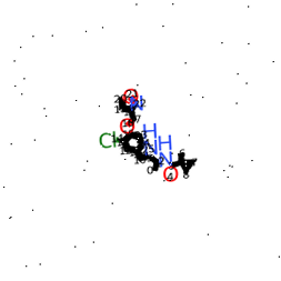 CC(NC(=O)C1(C)CC1)c1cc2cc(Cl)c(OCc3ccon3)cc2[nH]1